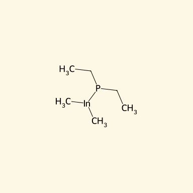 CC[P](CC)[In]([CH3])[CH3]